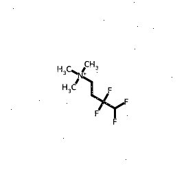 C[N+](C)(C)CCC(F)(F)C(F)F